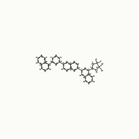 CC1(C)OB(c2cc(-c3ccc4cc(-c5cccc(-c6cccc7ccccc67)c5)ccc4c3)cc3ccccc23)OC1(C)C